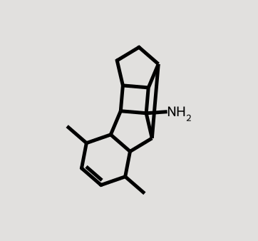 CC1C=CC(C)C2C1C1C3CCC4C3C1(N)C42